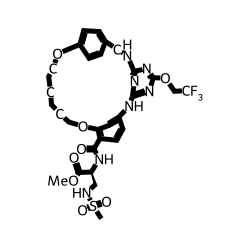 COC(=O)[C@H](CNS(C)(=O)=O)NC(=O)c1ccc2cc1OCCCCCCOc1ccc(cc1)CNc1nc(nc(OCC(F)(F)F)n1)N2